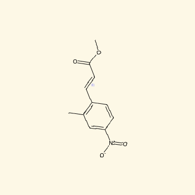 COC(=O)/C=C/c1ccc([N+](=O)[O-])cc1C